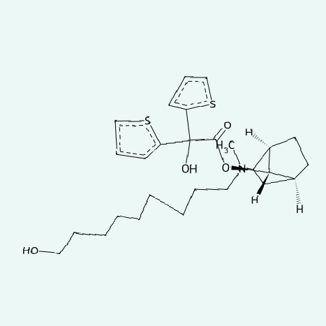 CN(CCCCCCCCCO)[C@H]1[C@H]2CC[C@@H]1[C@H](OC(=O)C(O)(c1cccs1)c1cccs1)C2